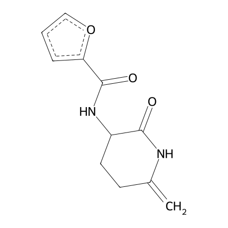 C=C1CCC(NC(=O)c2ccco2)C(=O)N1